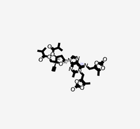 C#C[C@]1(COC(=O)C(C)C)O[C@@H](n2cnc3/c(=N/Cc4oc(=O)oc4C)n(Cc4oc(=O)oc4C)c(C)nc32)C[C@@H]1OC(=O)C(C)C